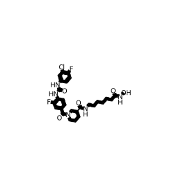 O=C(CCCCCCNC(=O)[C@H]1CCCN(C(=O)c2ccc(NC(=O)Nc3ccc(F)c(Cl)c3)c(F)c2)C1)NO